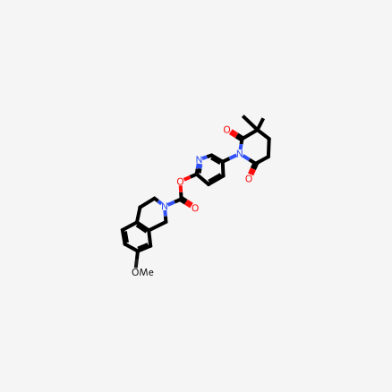 COc1ccc2c(c1)CN(C(=O)Oc1ccc(N3C(=O)CCC(C)(C)C3=O)cn1)CC2